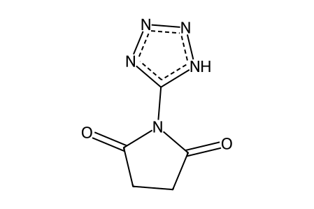 O=C1CCC(=O)N1c1nnn[nH]1